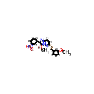 COc1cccc(CSc2ccc3nc(-c4cccc([N+](=O)[O-])c4)c(OC)n3n2)c1